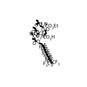 C=CC(=O)O.C=CC(=O)OC(F)(C(F)(F)F)C(F)(F)F.C=CC(=O)OCCC(F)(F)C(F)(F)C(F)(F)C(F)(F)C(F)(F)C(F)(F)C(F)(F)C(F)(F)C(F)(C(F)(F)F)C(F)(F)F.C=CC(=O)OCCOC(=O)CCC(=O)O.CCOC(N)=O